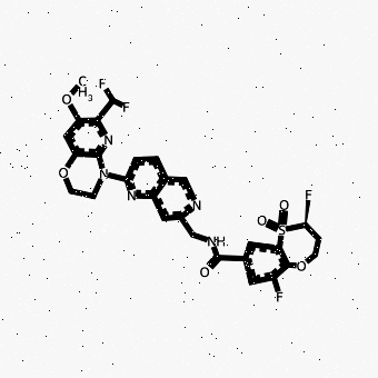 COc1cc2c(nc1C(F)F)N(c1ccc3cnc(CNC(=O)c4cc(F)c5c(c4)S(=O)(=O)[C@@H](F)CCO5)cc3n1)CCO2